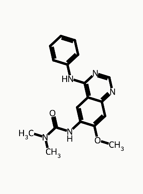 COc1cc2ncnc(Nc3ccccc3)c2cc1NC(=O)N(C)C